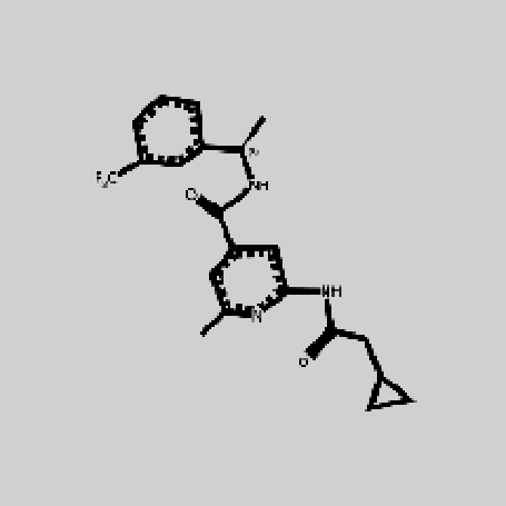 Cc1cc(C(=O)N[C@H](C)c2cccc(C(F)(F)F)c2)cc(NC(=O)CC2CC2)n1